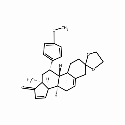 COc1ccc([C@H]2C[C@]3(C)C(=O)C=C[C@@H]3[C@@H]3CC=C4CC5(CC[C@@H]4[C@H]32)OCCO5)cc1